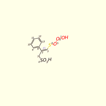 O=S(=O)(O)C/C(=C/SOOO)c1ccccc1